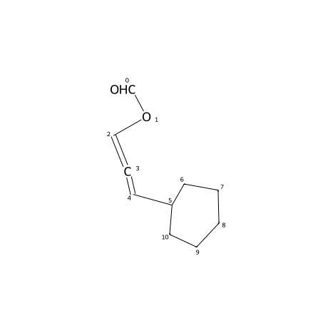 O=COC=C=CC1CCCCC1